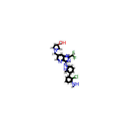 CNc1cccc(-c2cccc(Nc3nc(C(F)F)nc4cc(CN5CCC(O)C5)cnc34)c2C)c1Cl